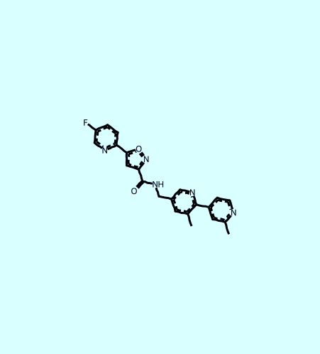 Cc1cc(-c2ncc(CNC(=O)c3cc(-c4ccc(F)cn4)on3)cc2C)ccn1